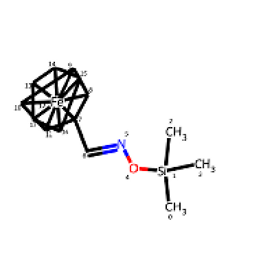 C[Si](C)(C)ON=C[C]12[CH]3[CH]4[CH]5[CH]1[Fe]45321678[CH]2[CH]1[CH]6[CH]7[CH]28